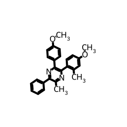 COc1ccc(-c2nc(-c3ccccc3)c(C)nc2-c2ccc(OC)cc2C)cc1